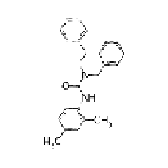 Cc1ccc(NC(=O)N(CCc2ccccc2)Cc2ccccc2)c(C)c1